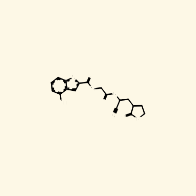 Cc1cccc2[nH]c(C(=O)NCC(=O)NC(C#N)CC3CCNC3=O)cc12